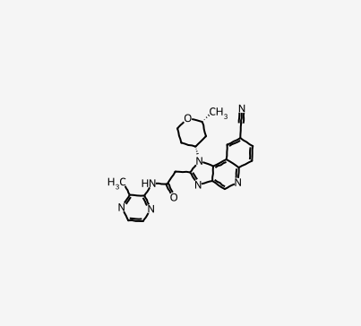 Cc1nccnc1NC(=O)Cc1nc2cnc3ccc(C#N)cc3c2n1[C@@H]1CCO[C@H](C)C1